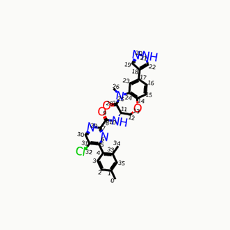 Cc1ccc(-c2nc(C(=O)N[C@H]3COc4ccc(-c5cn[nH]c5)cc4N(C)C3=O)ncc2Cl)c(C)c1